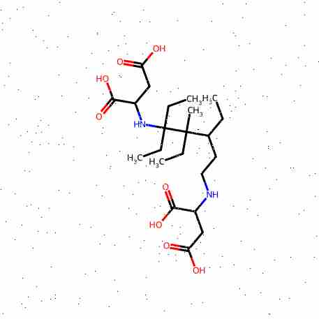 CCC(CCNC(CC(=O)O)C(=O)O)C(C)(CC)C(CC)(CC)NC(CC(=O)O)C(=O)O